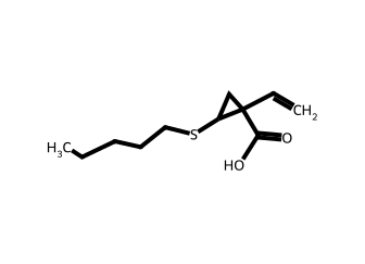 C=CC1(C(=O)O)CC1SCCCCC